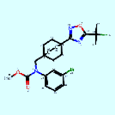 CC(C)(C)OC(=O)N(CC12CCC(c3noc(C(C)(C)F)n3)(CC1)CC2)c1cccc(Br)c1